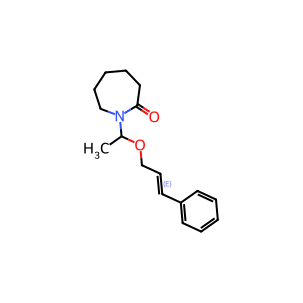 CC(OC/C=C/c1ccccc1)N1CCCCCC1=O